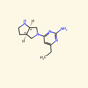 CCc1cc(N2C[C@H]3CCN[C@H]3C2)nc(N)n1